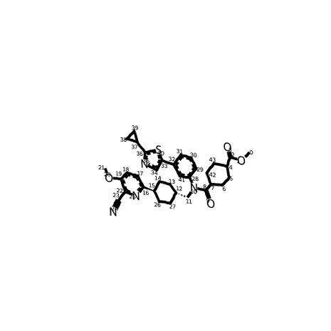 COC(=O)C1CCC(C(=O)N(C[C@H]2CC[C@H](c3ccc(OC)c(C#N)n3)CC2)c2cccc(-c3cnc(C4CC4)s3)c2)CC1